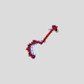 Cc1sc2c(c1C)C(c1ccc(Cl)cc1)=N[C@@H](CC(=O)NCCOCCOCCOCCOCCOCCOCCC(=O)NCCCN(C)CCCNC(=O)CCNC(=O)c1nc(NC(=O)CCNC(=O)c3cc(NC(=O)c4nc(NC(=O)CCNC(=O)c5cc(NC(=O)c6nccn6C(C)C)cn5C)cn4C(C)C)cn3C)cn1C(C)C)c1nnc(C)n1-2